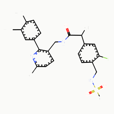 Cc1ccc(-c2nc(C(F)(F)F)ccc2CNC(=O)C(C)c2ccc(CNS(C)(=O)=O)c(F)c2)cc1C